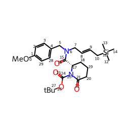 COc1ccc(CN(CC=CC[Si](C)(C)C)C(=O)[C@@H]2CCCC(=O)N2C(=O)OC(C)(C)C)cc1